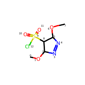 COC1N=NC(OC)C1S(=O)(=O)Cl